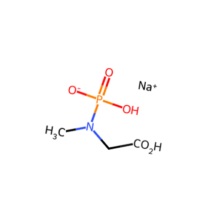 CN(CC(=O)O)P(=O)([O-])O.[Na+]